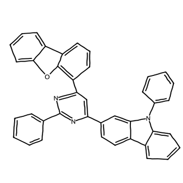 c1ccc(-c2nc(-c3ccc4c5ccccc5n(-c5ccccc5)c4c3)cc(-c3cccc4c3oc3ccccc34)n2)cc1